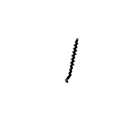 [CH2]OC#CCCCCCCCCCCCCCCCCCCCCC